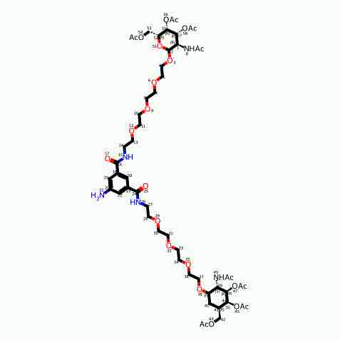 CC(=O)N[C@H]1C(OCCOCCOCCOCCNC(=O)c2cc(N)cc(C(=O)NCCOCCOCCOCCOC3C[C@H](COC(C)=O)[C@H](OC(C)=O)[C@H](OC(C)=O)[C@H]3NC(C)=O)c2)O[C@H](COC(C)=O)[C@H](OC(C)=O)[C@@H]1OC(C)=O